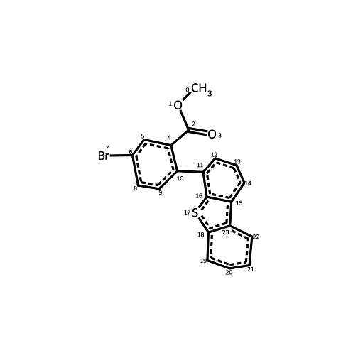 COC(=O)c1cc(Br)ccc1-c1cccc2c1sc1ccccc12